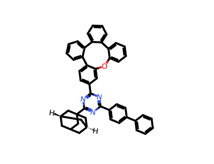 c1ccc(-c2ccc(-c3nc(-c4ccc5c(c4)oc4ccccc4c4ccccc4c4ccccc54)nc(C45CC6C[C@H](C4)C[C@H](C6)C5)n3)cc2)cc1